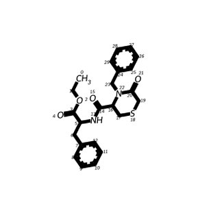 CCOC(=O)C(Cc1ccccc1)NC(=O)C1CSCC(=O)N1Cc1ccccc1